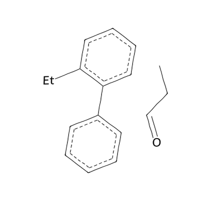 CCC=O.CCc1ccccc1-c1ccccc1